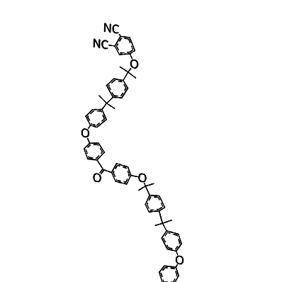 CC(C)(Oc1ccc(C(=O)c2ccc(Oc3ccc(C(C)(C)c4ccc(C(C)(C)Oc5ccc(C#N)c(C#N)c5)cc4)cc3)cc2)cc1)c1ccc(C(C)(C)c2ccc(Oc3ccc(C#N)c(C#N)c3)cc2)cc1